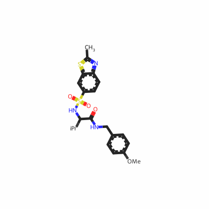 COc1ccc(CNC(=O)C(NS(=O)(=O)c2ccc3nc(C)sc3c2)C(C)C)cc1